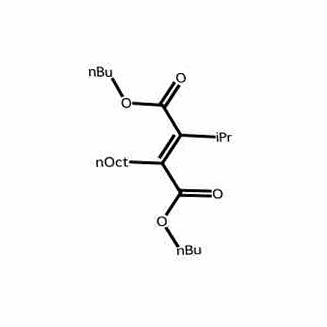 CCCCCCCCC(C(=O)OCCCC)=C(C(=O)OCCCC)C(C)C